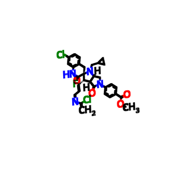 C=C(Cl)/N=C\C=C(/F)[C@H]1[C@@H]2C(=O)N(c3ccc(C(=O)OC)cc3)C[C@@H]2N(CC2CC2)[C@]12Cc1ccc(Cl)cc1NC2=O